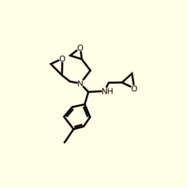 Cc1ccc(C(NCC2CO2)N(CC2CO2)CC2CO2)cc1